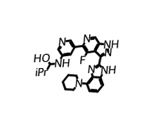 CC(C)C(O)Nc1cncc(-c2ncc3[nH]nc(-c4nc5c(N6CCCCC6)cccc5[nH]4)c3c2F)c1